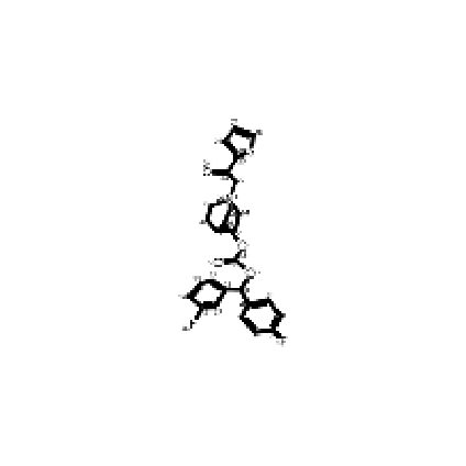 O=C(OC(c1ccc(F)cc1)c1cccc(F)c1)OC1C[N+]2(CC(=O)c3cccs3)CCC1CC2